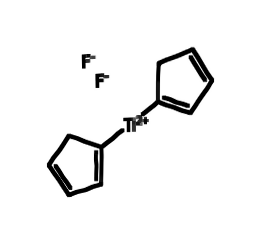 C1=CC[C]([Ti+2][C]2=CC=CC2)=C1.[F-].[F-]